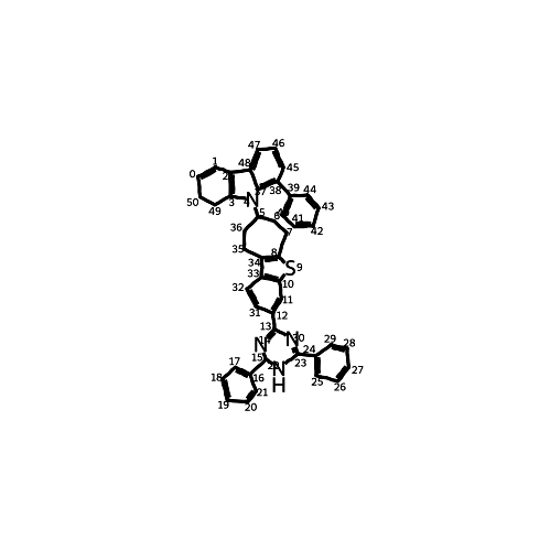 C1=Cc2c(n(C3CCc4sc5cc(C6=NC(c7ccccc7)NC(c7ccccc7)=N6)ccc5c4CC3)c3c(-c4ccccc4)cccc23)CC1